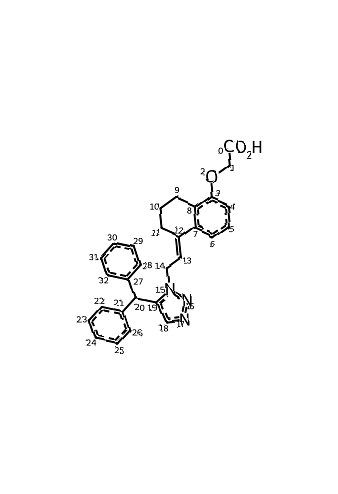 O=C(O)COc1cccc2c1CCCC2=CCn1nncc1C(c1ccccc1)c1ccccc1